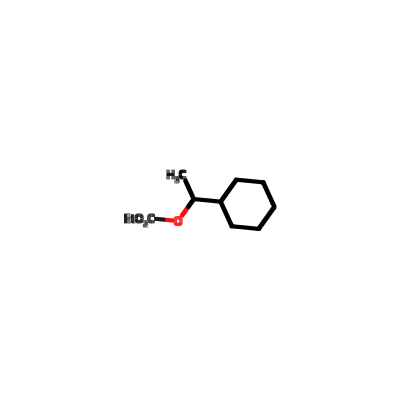 C[CH]OC(=O)OC(C)C1CCCCC1